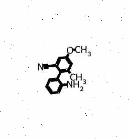 COc1cc(C)c(-c2ccccc2N)c(C#N)c1